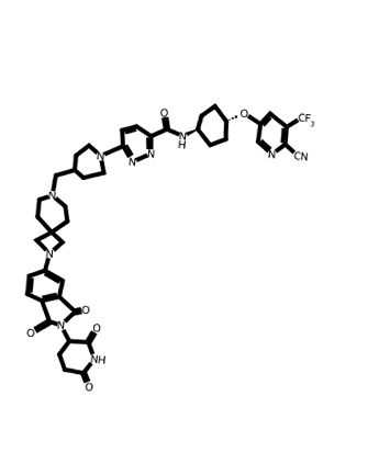 N#Cc1ncc(O[C@H]2CC[C@H](NC(=O)c3ccc(N4CCC(CN5CCC6(CC5)CN(c5ccc7c(c5)C(=O)N(C5CCC(=O)NC5=O)C7=O)C6)CC4)nn3)CC2)cc1C(F)(F)F